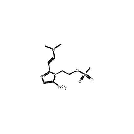 CN(C)C=Cc1ncc([N+](=O)[O-])n1CCOS(C)(=O)=O